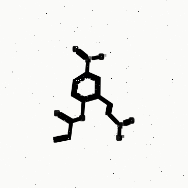 C=CC(=O)Oc1ccc([N+](=O)[O-])cc1C=C[N+](=O)[O-]